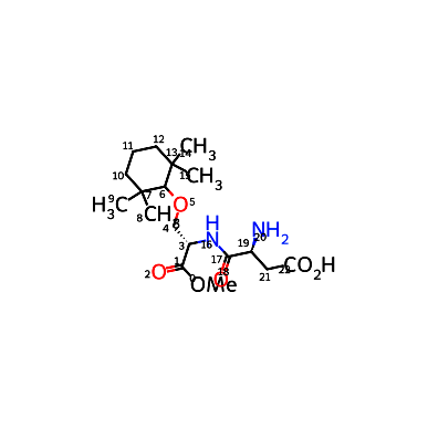 COC(=O)[C@H](COC1C(C)(C)CCCC1(C)C)NC(=O)[C@@H](N)CC(=O)O